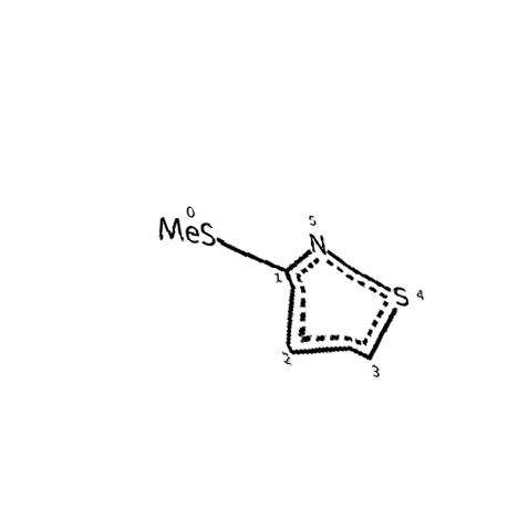 [CH2]Sc1ccsn1